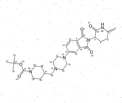 C=C1CCC(N2C(=O)c3ccc(N4CCN(CC5CCN(C(=O)OC(C)(C)C)CC5)CC4)cc3C2=O)C(=O)N1